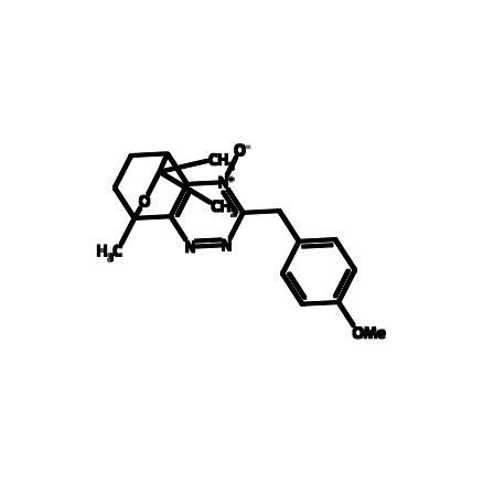 COc1ccc(Cc2nnc3c([n+]2[O-])C2CCC3(C)OC2(C)C)cc1